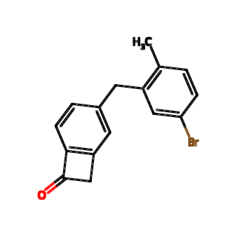 Cc1ccc(Br)cc1Cc1ccc2c(c1)CC2=O